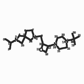 CC(C)N1CC2(CCN(CC3OCC3N3CCN(C(C)(C)C)CC3)C2)C1